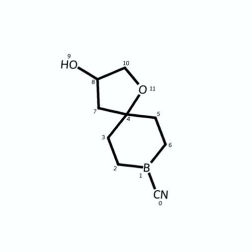 N#CB1CCC2(CC1)CC(O)CO2